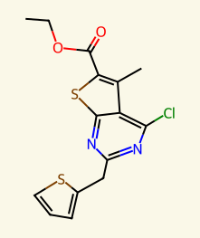 CCOC(=O)c1sc2nc(Cc3cccs3)nc(Cl)c2c1C